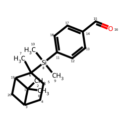 CC1(C)C2CCC(C)([Si](C)(C)c3ccc(C=O)cc3)C1C2